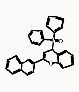 O=P(c1ccccc1)(c1ccccc1)C1C=C(c2ccc3ccccc3c2)Oc2ccccc21